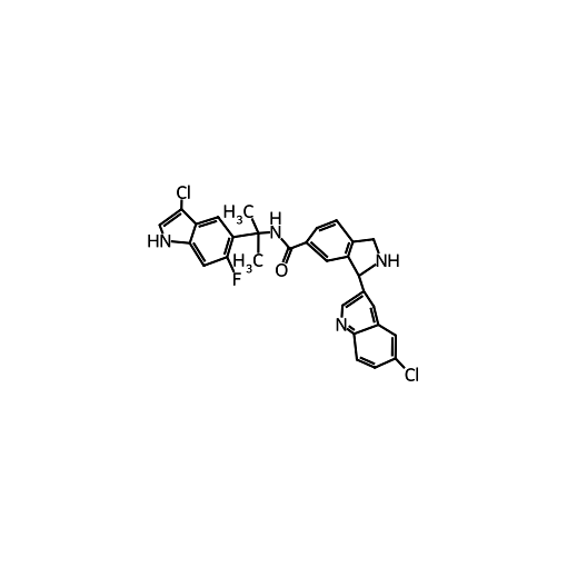 CC(C)(NC(=O)c1ccc2c(c1)C(c1cnc3ccc(Cl)cc3c1)NC2)c1cc2c(Cl)c[nH]c2cc1F